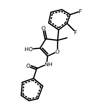 CC1(c2cccc(F)c2F)OC(NC(=O)c2ccccc2)=C(O)C1=O